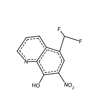 O=[N+]([O-])c1cc(C(F)F)c2cccnc2c1O